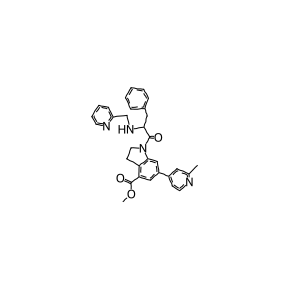 COC(=O)c1cc(-c2ccnc(C)c2)cc2c1CCN2C(=O)C(Cc1ccccc1)NCc1ccccn1